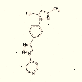 FC(F)(F)c1cc(C(F)(F)F)n(-c2ccc(-c3cn(-c4ccncc4)nn3)cc2)n1